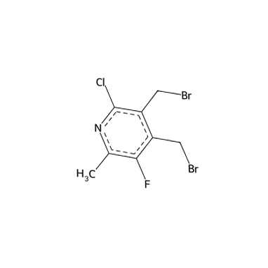 Cc1nc(Cl)c(CBr)c(CBr)c1F